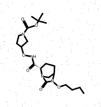 CCCCON1C(=O)N2CC1CC[C@H]2C(=O)NOC1CCN(C(=O)OC(C)(C)C)C1